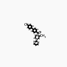 CC1CN(c2ncccn2)CCN1C(=O)c1ccc(-c2ccc(Cl)cc2)cc1